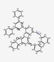 C1=C\c2ccc(-c3nc(-c4ccccc4)cc(-c4ccccc4)n3)cc2-c2cc3oc4ccccc4c3cc2Sc2ccccc2-c2ccccc2/1